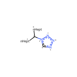 CCCCCCCC(CCCCCCC)n1cnnn1